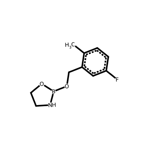 Cc1ccc(F)cc1COB1NCCO1